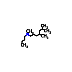 CCCCN(C)CCC[C@H](C)CC(C)C